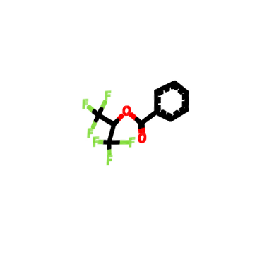 O=C(OC(C(F)(F)F)C(F)(F)F)c1ccccc1